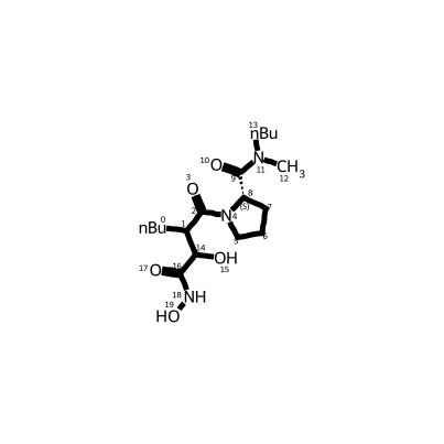 CCCCC(C(=O)N1CCC[C@H]1C(=O)N(C)CCCC)C(O)C(=O)NO